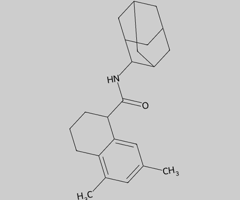 Cc1cc(C)c2c(c1)C(C(=O)NC1C3CC4CC(C3)CC1C4)CCC2